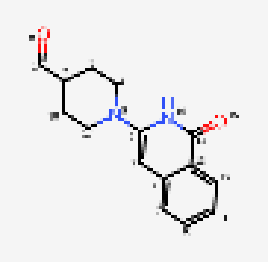 O=CC1CCN(c2cc3ccccc3c(=O)[nH]2)CC1